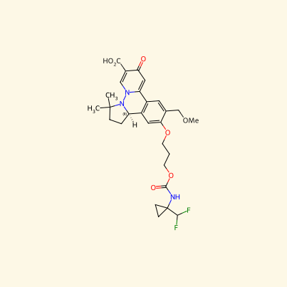 COCc1cc2c(cc1OCCCOC(=O)NC1(C(F)F)CC1)[C@H]1CCC(C)(C)N1n1cc(C(=O)O)c(=O)cc1-2